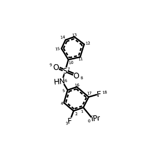 CC(C)c1c(F)cc(NS(=O)(=O)c2ccccc2)cc1F